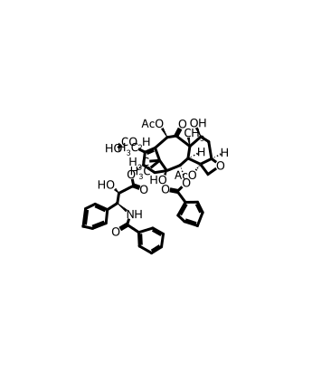 CC(=O)O[C@H]1C(=O)[C@@]2(C)[C@H]([C@H](OC(=O)c3ccccc3)[C@]3(O)C[C@H](OC(=O)[C@H](O)[C@@H](NC(=O)c4ccccc4)c4ccccc4)C(C)=C1C3(C)C)[C@]1(OC(C)=O)CO[C@@H]1C[C@@H]2O.O=C(O)O